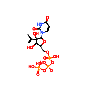 C=C(C)[C@@]1(O)[C@H](O)[C@@H](COP(=O)(O)OP(=O)(O)OP(=O)(O)O)O[C@H]1n1ccc(=O)[nH]c1=O